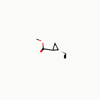 C=C[C@@H]1C[C@]1(C)C(=O)OC